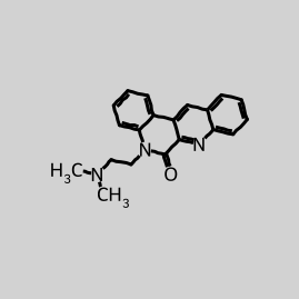 CN(C)CCn1c(=O)c2nc3ccccc3cc2c2ccccc21